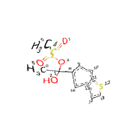 CC(O)(OS(C)(=O)=O)c1ccc2sccc2c1